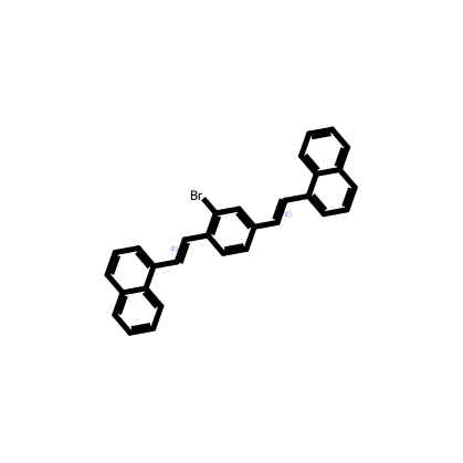 Brc1cc(/C=C/c2cccc3ccccc23)ccc1/C=C/c1cccc2ccccc12